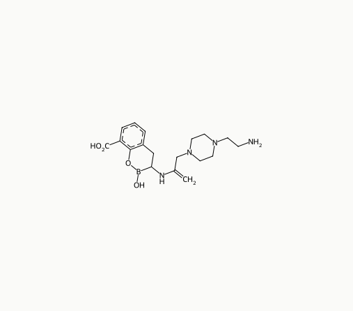 C=C(CN1CCN(CCN)CC1)NC1Cc2cccc(C(=O)O)c2OB1O